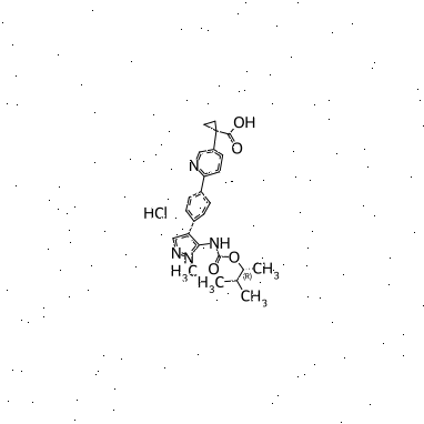 CC(C)[C@@H](C)OC(=O)Nc1c(-c2ccc(-c3ccc(C4(C(=O)O)CC4)cn3)cc2)cnn1C.Cl